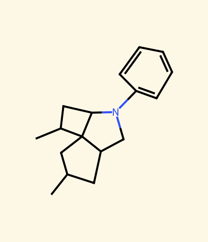 CC1CC2CN(c3ccccc3)C3CC(C)C23C1